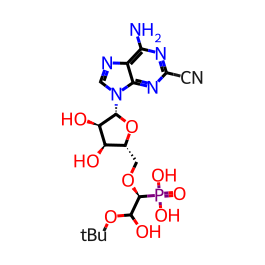 CC(C)(C)OC(O)[C@@H](OC[C@H]1O[C@@H](n2cnc3c(N)nc(C#N)nc32)[C@H](O)[C@@H]1O)P(=O)(O)O